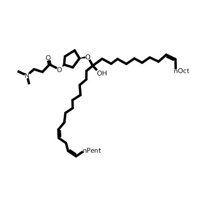 CCCCC/C=C\C/C=C\CCCCCCCCC(O)(CCCCCCCC/C=C\CCCCCCCC)O[C@@H]1CC[C@@H](OC(=O)CCN(C)C)C1